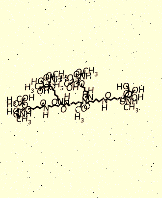 CC(=O)N[C@@H]1C(OCCCCC(=O)NCCCCC(NC(=O)CCCCOC(OC(CO)[C@@H](C)O)[C@H](CO)NC(C)=O)C(=O)NC(CCCCNC(=O)C(CCCCNC(=O)CCCCOC(OC(CO)[C@@H](C)O)[C@H](CO)NC(C)=O)NC(=O)CCCCOC(OC(CO)[C@@H](C)O)[C@H](CO)NC(C)=O)C(C)=O)OC(CO)C(O)C1O